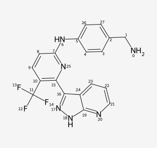 NCc1ccc(Nc2ccc(C(F)(F)F)c(-c3n[nH]c4ncccc34)n2)cc1